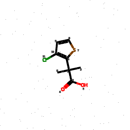 CC(C)(C(=O)O)c1sccc1Cl